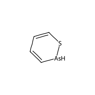 C1=CS[AsH]C=C1